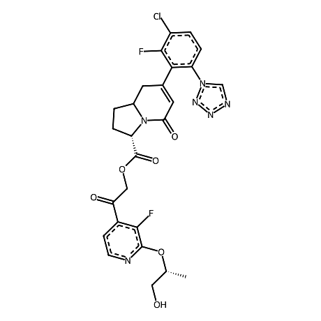 C[C@H](CO)Oc1nccc(C(=O)COC(=O)[C@@H]2CCC3CC(c4c(-n5cnnn5)ccc(Cl)c4F)=CC(=O)N32)c1F